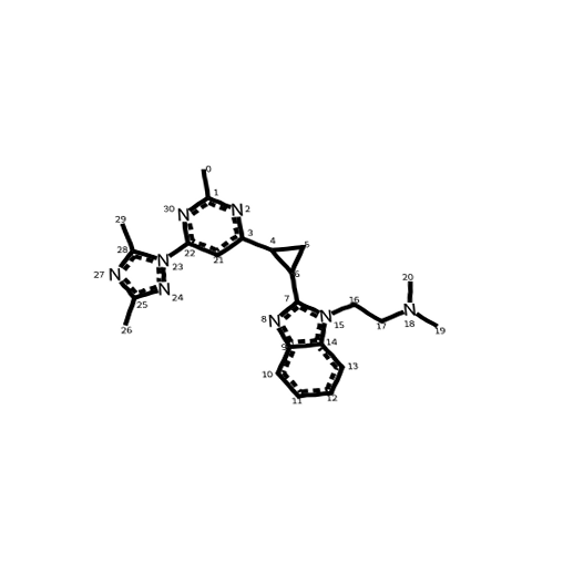 Cc1nc(C2CC2c2nc3ccccc3n2CCN(C)C)cc(-n2nc(C)nc2C)n1